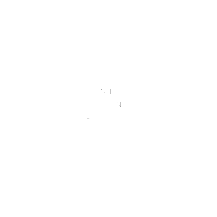 CC(C)c1ccc2c(n1)NCCC2(F)F